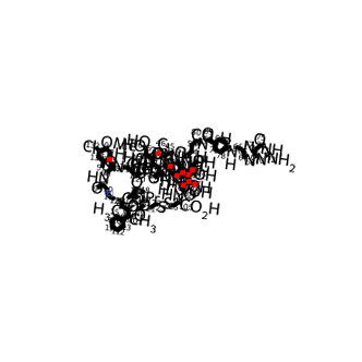 COc1ccc(C[C@H]2NC(=O)/C=C/C[C@@H]([C@H](C)[C@@H](OC(=O)OCCSSC[C@@H](NC(=O)[C@@H](NC(=O)[C@H](CC(=O)O)NC(=O)[C@@H](NC(=O)[C@H](CC(=O)O)NC(=O)[C@@H](NC(=O)CC[C@H](NC(=O)c3ccc(NCc4cnc5nc(N)[nH]c(=O)c5n4)cc3)C(=O)O)[C@@H](O)[C@H](O)[C@H](O)CO)[C@@H](O)[C@H](O)[C@H](O)CO)[C@@H](O)[C@H](O)[C@H](O)CO)C(=O)O)[C@@H](C)c3ccccc3)OC(=O)[C@H](CC(C)C)OC(=O)C(C)(C)CNC2=O)cc1Cl